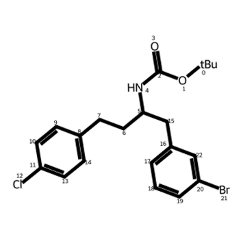 CC(C)(C)OC(=O)NC(CCc1ccc(Cl)cc1)Cc1cccc(Br)c1